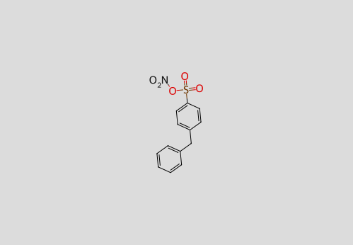 O=[N+]([O-])OS(=O)(=O)c1ccc(Cc2ccccc2)cc1